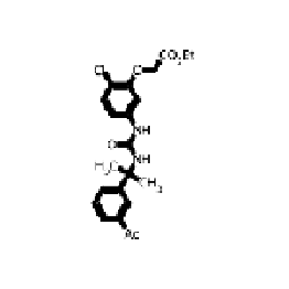 CCOC(=O)COc1cc(NC(=O)NC(C)(C)c2cccc(C(C)=O)c2)ccc1Cl